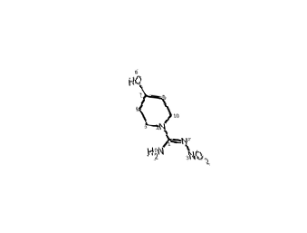 NC(=N[N+](=O)[O-])N1CCC(O)CC1